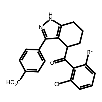 O=C(O)c1ccc(-c2n[nH]c3c2C(C(=O)c2c(Cl)cccc2Br)CCC3)cc1